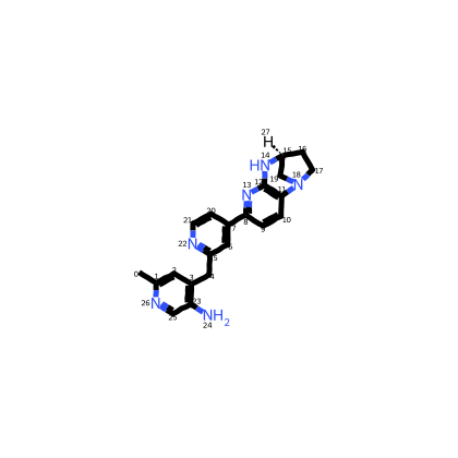 Cc1cc(Cc2cc(-c3ccc4c(n3)N[C@H]3CCN4C3)ccn2)c(N)cn1